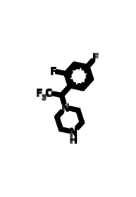 Fc1ccc(C(N2CCNCC2)C(F)(F)F)c(F)c1